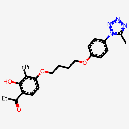 CCCc1c(OCCCCOc2ccc(-n3nnnc3C)cc2)ccc(C(=O)CC)c1O